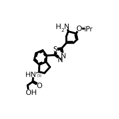 CC(C)OC1=CC=C(c2nnc(-c3cccc4c3CC[C@@H]4NC(=O)CO)s2)CC1N